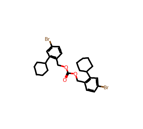 O=C(OCc1ccc(Br)cc1C1CCCCC1)OCc1ccc(Br)cc1C1CCCCC1